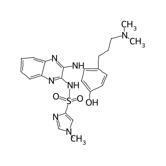 CN(C)CCCc1ccc(O)cc1Nc1nc2ccccc2nc1NS(=O)(=O)c1cn(C)cn1